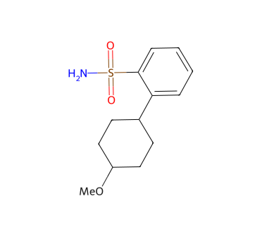 COC1CCC(c2ccccc2S(N)(=O)=O)CC1